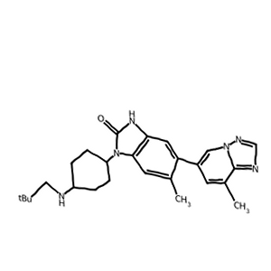 Cc1cc2c(cc1-c1cc(C)c3ncnn3c1)[nH]c(=O)n2C1CCC(NCC(C)(C)C)CC1